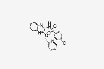 O=S(=O)(Nc1nc2ccccc2nc1OCc1ccccn1)c1ccc(Cl)cc1